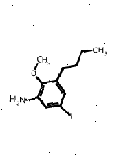 CCCCc1cc(I)cc(N)c1OC